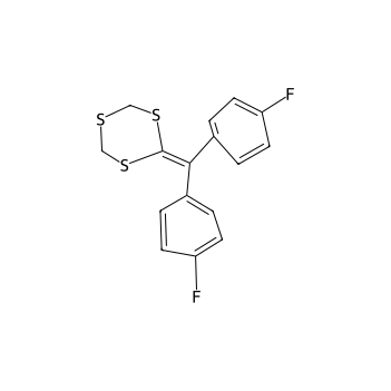 Fc1ccc(C(=C2SCSCS2)c2ccc(F)cc2)cc1